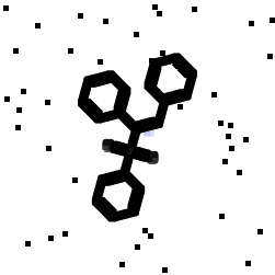 O=S(=O)(/C(=C/c1ccccc1)c1ccccc1)c1ccccc1